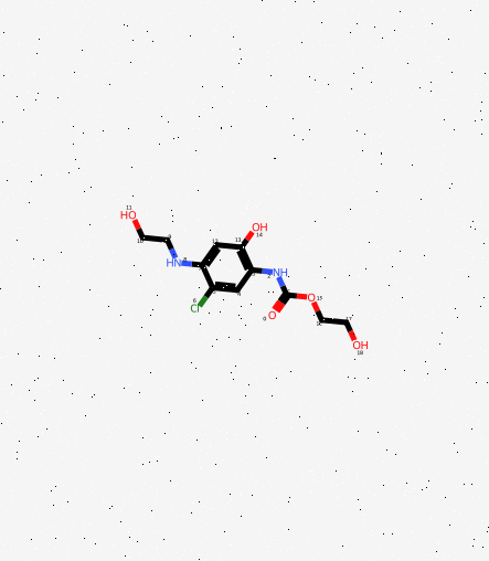 O=C(Nc1cc(Cl)c(NCCO)cc1O)OCCO